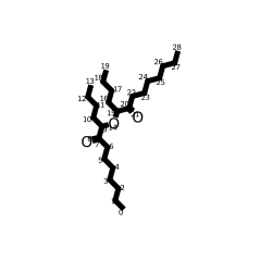 CCCCCCCC(=O)C(CCCC)OC(CCCC)C(=O)CCCCCCC